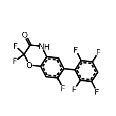 O=C1Nc2cc(-c3c(F)c(F)cc(F)c3F)c(F)cc2OC1(F)F